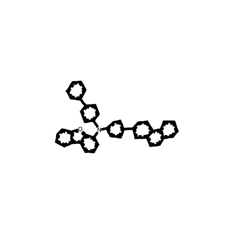 c1ccc(-c2ccc(N(c3ccc(-c4ccc5c(ccc6ccccc65)c4)cc3)c3cccc4c3oc3ccccc34)cc2)cc1